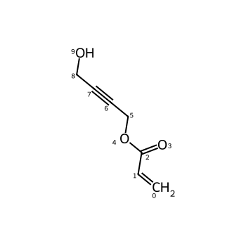 C=CC(=O)OCC#CCO